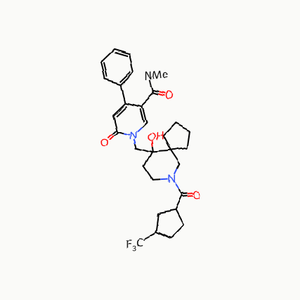 CNC(=O)c1cn(CC2(O)CCN(C(=O)C3CCC(C(F)(F)F)C3)CC23CCCC3)c(=O)cc1-c1ccccc1